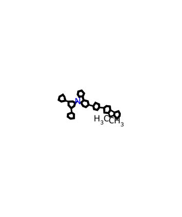 CC1(C)c2ccccc2-c2ccc(-c3ccc(-c4ccc5c(c4)c4ccccc4n5-c4cc(-c5ccccc5)cc(-c5ccccc5)c4)cc3)cc21